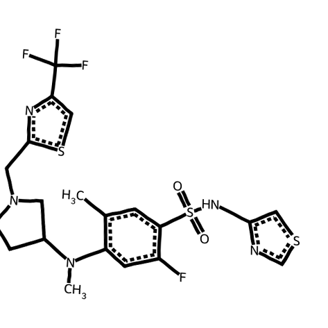 Cc1cc(S(=O)(=O)Nc2cscn2)c(F)cc1N(C)C1CCN(Cc2nc(C(F)(F)F)cs2)C1